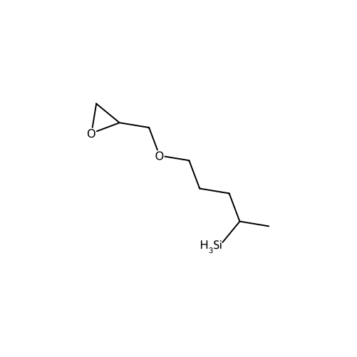 CC([SiH3])CCCOCC1CO1